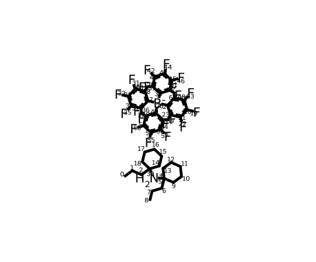 CCCC1([NH2+]C2(CCC)CCCCC2)CCCCC1.Fc1c(F)c(F)c([B-](c2c(F)c(F)c(F)c(F)c2F)(c2c(F)c(F)c(F)c(F)c2F)c2c(F)c(F)c(F)c(F)c2F)c(F)c1F